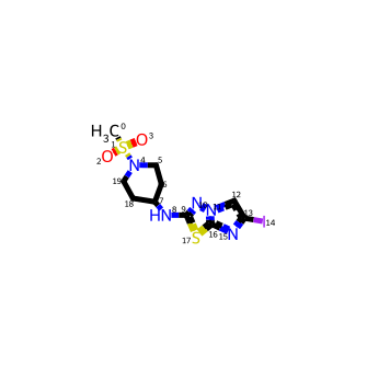 CS(=O)(=O)N1CCC(Nc2nn3cc(I)nc3s2)CC1